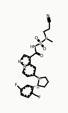 CN(CCC#N)S(=O)(=O)NC(=O)c1cnn2ccc(N3CCC[C@@H]3c3cc(F)ccc3F)cc12